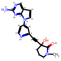 CN1CCCC(O)(C#Cc2cc(-n3ccc4cnc(N)nc43)ccn2)C1=O